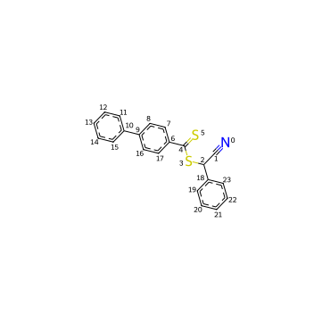 N#CC(SC(=S)c1ccc(-c2ccccc2)cc1)c1ccccc1